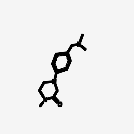 CN(C)Cc1ccc(N2CCN(C)C(=O)C2)cc1